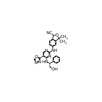 CC1(C)OC(C#N)c2ccc(Nc3ncc(-c4nnco4)c(N[C@H](CO)c4ccccc4)n3)cc21